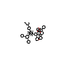 C=C/C=C(\C=C)c1ccc(-c2nc(-c3cc(-c4ccccc4)cc(-c4ccccc4)c3)nc(-c3cc(-c4ccccc4)c(-n4c5ccccc5c5ccc6c(c7ccccc7n6-c6ccccc6)c54)c(-c4ccccc4)c3)n2)cc1